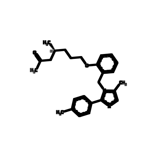 CC(=O)C[C@H](C)CCCOc1ccccc1Cn1c(C)cnc1-c1ccc(C)cc1